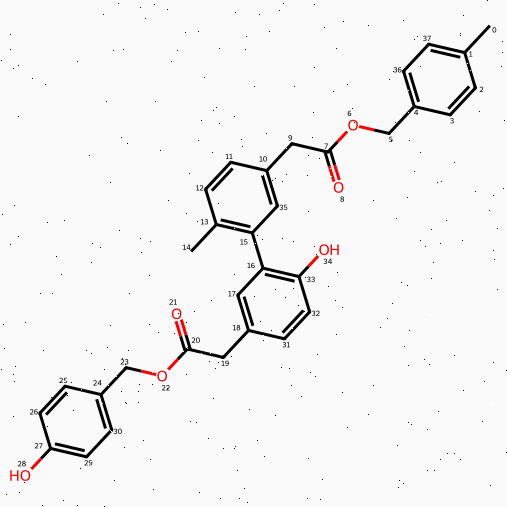 Cc1ccc(COC(=O)Cc2ccc(C)c(-c3cc(CC(=O)OCc4ccc(O)cc4)ccc3O)c2)cc1